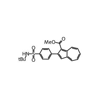 COC(=O)c1c2cccccc-2cc1-c1ccc(S(=O)(=O)NC(C)(C)C)cc1